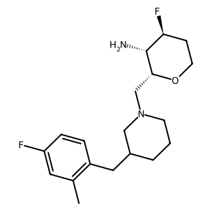 Cc1cc(F)ccc1CC1CCCN(C[C@H]2OCC[C@H](F)[C@H]2N)C1